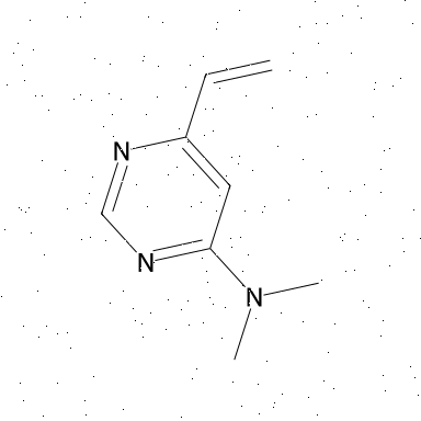 C=Cc1cc(N(C)C)ncn1